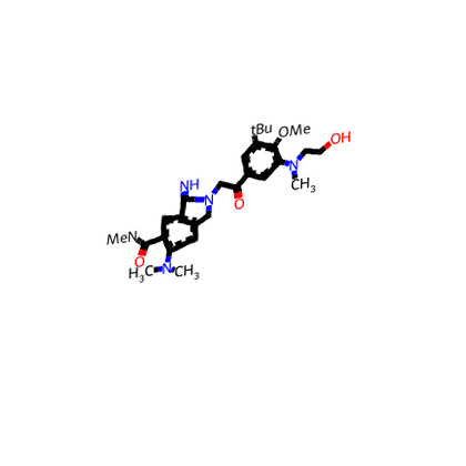 CNC(=O)c1cc2c(cc1N(C)C)CN(CC(=O)c1cc(N(C)CCO)c(OC)c(C(C)(C)C)c1)C2=N